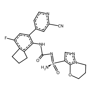 N#Cc1cc(-c2cc(F)c3c(c2NC(=O)N=[S@@](N)(=O)c2cnn4c2OCCC4)CCC3)ccn1